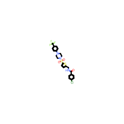 O=C(NCc1ccc(S(=O)(=O)N2CCN(c3ccc(C(F)(F)F)cc3)CC2)s1)c1ccc(Cl)cc1